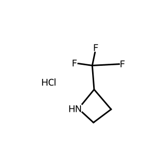 Cl.FC(F)(F)C1CCN1